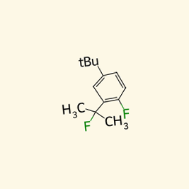 CC(C)(C)c1ccc(F)c(C(C)(C)F)c1